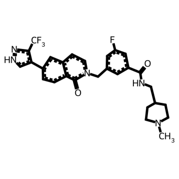 CN1CCC(CNC(=O)c2cc(F)cc(Cn3ccc4cc(-c5c[nH]nc5C(F)(F)F)ccc4c3=O)c2)CC1